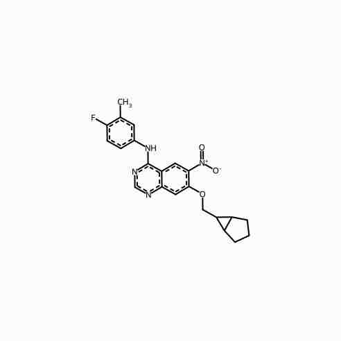 Cc1cc(Nc2ncnc3cc(OCC4C5CCCC54)c([N+](=O)[O-])cc23)ccc1F